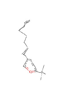 CCCCCCCCCCCC/C=C/c1coc([Si](C)(C)C)c1